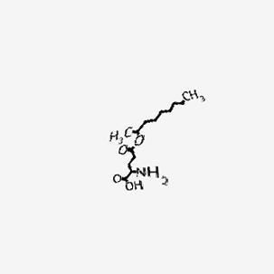 CCCCCCCC(C)OC(=O)CCC(N)C(=O)O